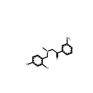 Bc1cccc(C(=O)CN(C)Cc2ccc(Cl)cc2Cl)c1